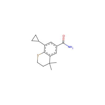 CC1(C)CCSc2c(C3CC3)cc(C(N)=O)cc21